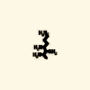 CC(N)C(N)C(N)CCCN